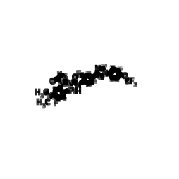 CC(C)c1cc(F)c(N(C)C)cc1N1C(=O)CS/C1=N\C(=O)Nc1ccc(-c2ncn(-c3ccc(OC(F)(F)F)cc3)n2)cc1F